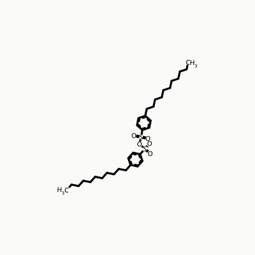 CCCCCCCCCCCc1ccc(S(=O)(=O)OS(=O)(=O)c2ccc(CCCCCCCCCCC)cc2)cc1